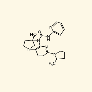 O=C(Nc1ccccn1)N1c2nc(N3CCCC3C(F)(F)F)ccc2N2CC[C@@]1(O)C2